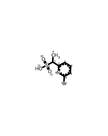 CC(c1cccc(Br)n1)S(=O)(=O)O